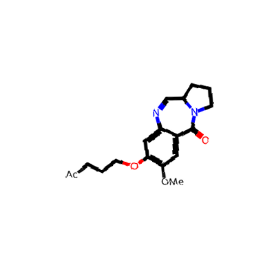 COc1cc2c(cc1OCCCC(C)=O)N=CC1CCCN1C2=O